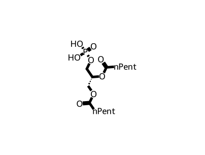 CCCCCC(=O)OC[C@H](COP(=O)(O)O)OC(=O)CCCCC